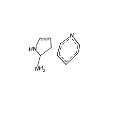 NC1CC=CN1.c1ccncc1